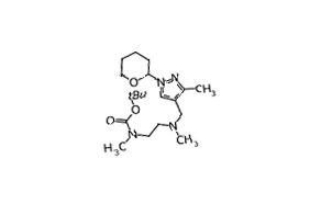 Cc1nn(C2CCCCO2)cc1CN(C)CCN(C)C(=O)OC(C)(C)C